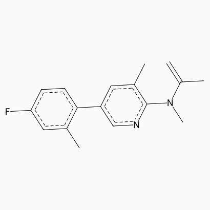 C=C(C)N(C)c1ncc(-c2ccc(F)cc2C)cc1C